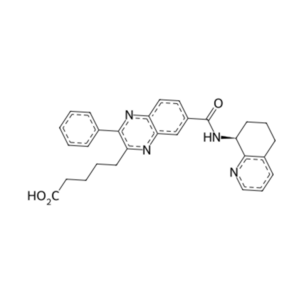 O=C(O)CCCCc1nc2cc(C(=O)N[C@H]3CCCc4cccnc43)ccc2nc1-c1ccccc1